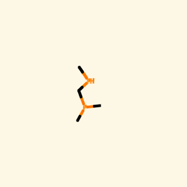 CPCP(C)C